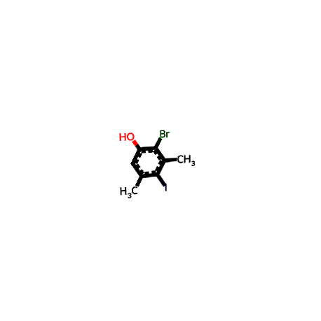 Cc1cc(O)c(Br)c(C)c1I